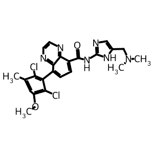 COc1cc(C)c(Cl)c(-c2ccc(C(=O)Nc3ncc(CN(C)C)[nH]3)c3nccnc23)c1Cl